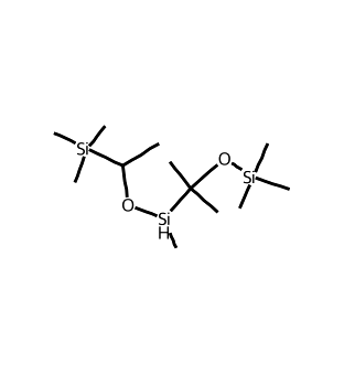 CC(O[SiH](C)C(C)(C)O[Si](C)(C)C)[Si](C)(C)C